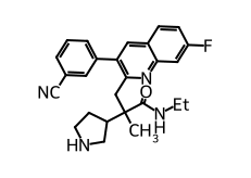 CCNC(=O)C(C)(Cc1nc2cc(F)ccc2cc1-c1cccc(C#N)c1)C1CCNC1